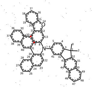 CC1(C)c2ccc(N(c3ccc4c(c3)oc3ccccc34)c3ccc4ccccc4c3-c3ccc4ccccc4c3)cc2-c2cc3ccccc3cc21